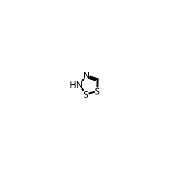 C1=NNSS1